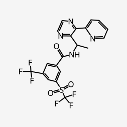 CC(NC(=O)c1cc(C(F)(F)F)cc(S(=O)(=O)C(F)(F)F)c1)c1nccnc1-c1ccccn1